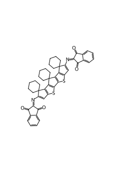 O=c1c(=NC2=Cc3sc4c(c3C23CCCCC3)C2(CCCCC2)c2c-4sc3c2C2(CCCCC2)C(N=c2c(=O)c4ccccc4c2=O)=C3)c(=O)c2ccccc12